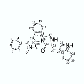 CN(Cc1ccccc1)C[C@@H](Cc1ccccc1)N1CCNC(Cc2c[nH]c3ccccc23)C1=O